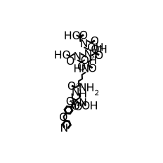 N[C@@H](CCCCNC(=O)CC[C@@H](C(=O)O)N(CCN(CC(=O)O)CC(=O)O)CCN(CC(=O)O)CC(=O)O)C(=O)N1CCC(C(=O)NO)(S(=O)(=O)c2ccc(Oc3cccnc3)cc2)CC1